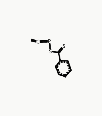 C=C=PSC(=S)c1ccccc1